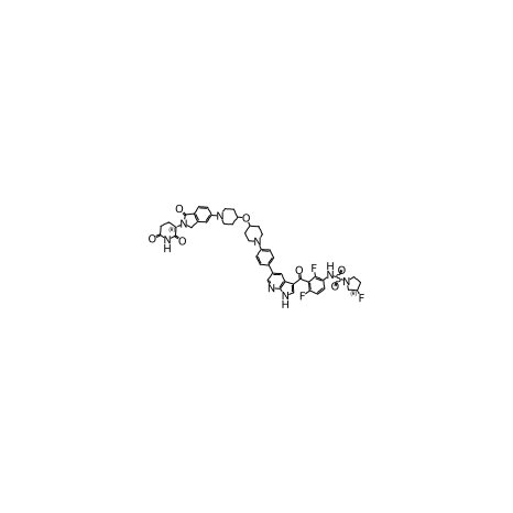 O=C1CC[C@@H](N2Cc3cc(N4CCC(OC5CCN(c6ccc(-c7cnc8[nH]cc(C(=O)c9c(F)ccc(NS(=O)(=O)N%10CC[C@@H](F)C%10)c9F)c8c7)cc6)CC5)CC4)ccc3C2=O)C(=O)N1